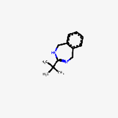 CC(C)(C)C1=NCc2ccccc2CN1